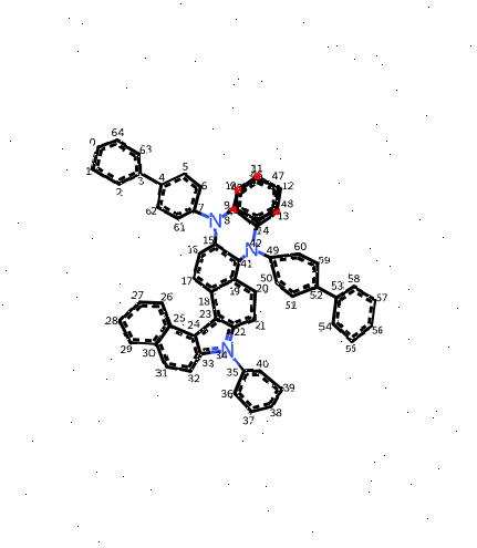 c1ccc(-c2ccc(N(c3ccccc3)c3ccc4c(ccc5c4c4c6ccccc6ccc4n5-c4ccccc4)c3N(c3ccccc3)c3ccc(-c4ccccc4)cc3)cc2)cc1